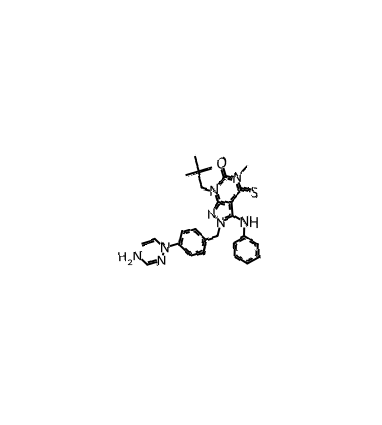 C=CN(/N=C\N)c1ccc(Cn2nc3c(c2Nc2ccccc2)c(=S)n(C)c(=O)n3CC(C)(C)C)cc1